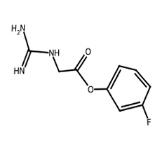 N=C(N)NCC(=O)Oc1cccc(F)c1